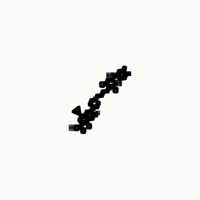 Cc1ccc(Nc2cc(=O)n(CCCCN3CCN(c4cc5c(cc4F)c(=O)c(C(=O)O)cn5C4CC4)CC3)c(=O)[nH]2)cc1C